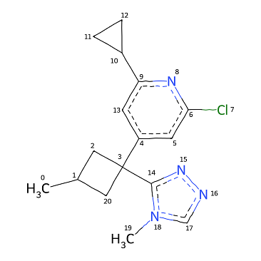 CC1CC(c2cc(Cl)nc(C3CC3)c2)(c2nncn2C)C1